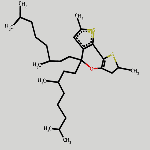 Cc1cc2c(s1)C1=C(CC(C)S1)OC2(CCC(C)CCCC(C)C)CCC(C)CCCC(C)C